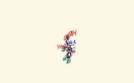 Cc1c([C@H](C)C(=O)NCCC(=O)O)c2cc(O)c(F)cc2n1C(=O)c1ccc(F)c(F)c1